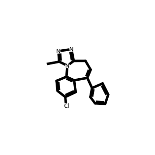 Cc1nnc2n1-c1ccc(Cl)cc1C(c1ccccc1)=CC2